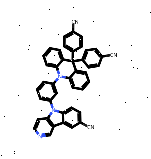 N#Cc1ccc(C2(c3ccc(C#N)cc3)c3ccccc3N(c3cccc(-n4c5ccncc5c5cc(C#N)ccc54)c3)c3ccccc32)cc1